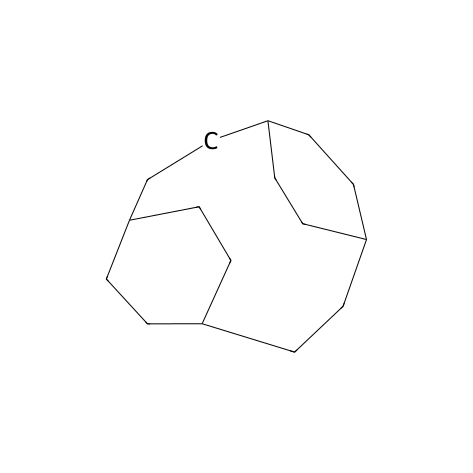 C1CC2CCC1CCC1CCC(CC1)CC2